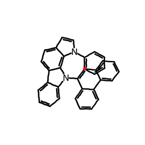 c1ccc(-n2ccc3ccc4c5ccccc5n(-c5cc6ccccc6c6ccccc56)c4c32)cc1